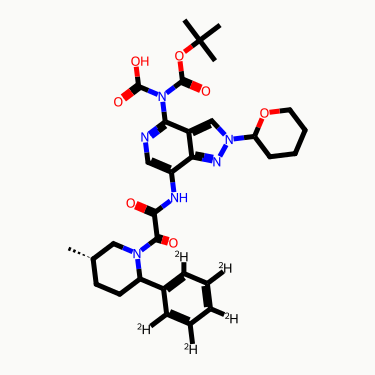 [2H]c1c([2H])c([2H])c(C2CC[C@H](C)CN2C(=O)C(=O)Nc2cnc(N(C(=O)O)C(=O)OC(C)(C)C)c3cn(C4CCCCO4)nc23)c([2H])c1[2H]